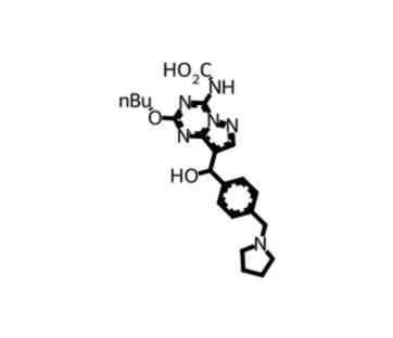 CCCCOc1nc(NC(=O)O)n2ncc(C(O)c3ccc(CN4CCCC4)cc3)c2n1